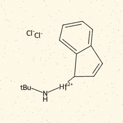 CC(C)(C)[NH][Hf+2][CH]1C=Cc2ccccc21.[Cl-].[Cl-]